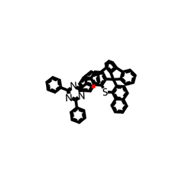 c1ccc(-c2nc(-c3ccccc3)nc(-c3ccc(-c4cccc5c4C4(c6ccccc6-5)c5ccc6ccccc6c5Sc5c4ccc4ccccc54)cc3)n2)cc1